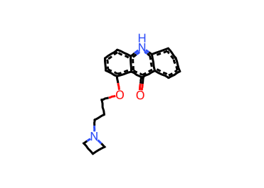 O=c1c2ccccc2[nH]c2cccc(OCCCN3CCC3)c12